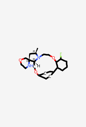 C[C@@H]1C[C@@]2(COCCN2)[C@@H]2COC3CCC(CC3)C3CCCC(F)C3OCCN12